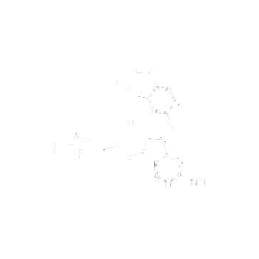 COc1c(C)cnc(CN2CC(CCCOS(C)(=O)=O)c3c(Cl)nc(N)nc32)c1C